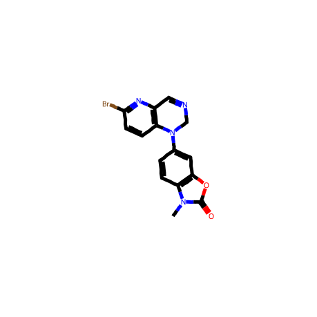 Cn1c(=O)oc2cc(N3CN=Cc4nc(Br)ccc43)ccc21